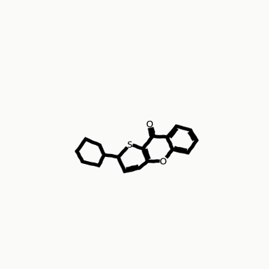 O=c1c2c(oc3ccccc13)C=CC(C1CCCCC1)S2